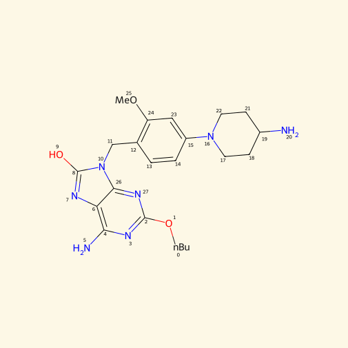 CCCCOc1nc(N)c2nc(O)n(Cc3ccc(N4CCC(N)CC4)cc3OC)c2n1